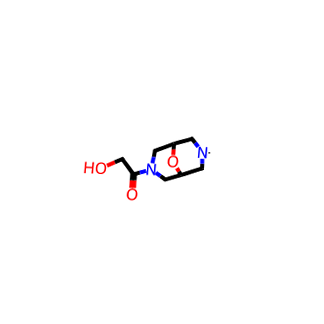 O=C(CO)N1CC2C[N]CC(C1)O2